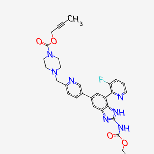 CC#CCOC(=O)N1CCN(Cc2ccc(-c3cc(-c4ncccc4F)c4[nH]c(NC(=O)OCC)nc4c3)cn2)CC1